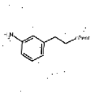 CCCCCCCc1cccc(N)c1